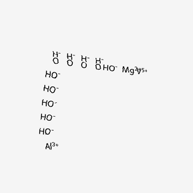 [Al+3].[Mg+2].[OH-].[OH-].[OH-].[OH-].[OH-].[OH-].[OH-].[OH-].[OH-].[OH-].[V+5]